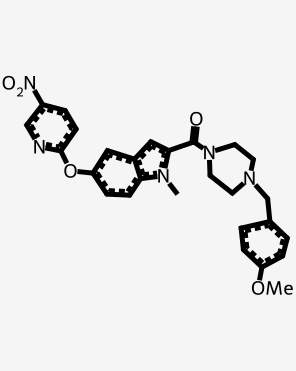 COc1ccc(CN2CCN(C(=O)c3cc4cc(Oc5ccc([N+](=O)[O-])cn5)ccc4n3C)CC2)cc1